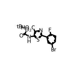 CC(C)(C)OC(=O)Nc1sc(-c2cc(Br)ccc2F)nc1C(=O)O